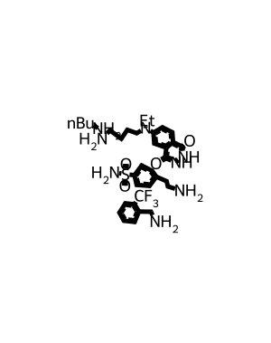 CCCCN.CCN(CCCCN)c1ccc2c(=O)[nH][nH]c(=O)c2c1.NCCc1ccc(S(N)(=O)=O)cc1.NCc1ccccc1C(F)(F)F